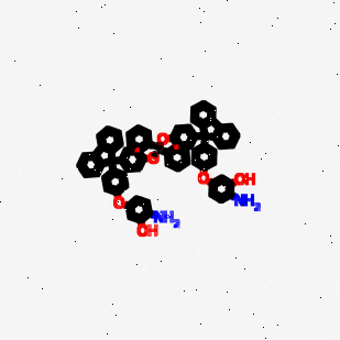 Nc1ccc(Oc2ccc(C3(c4ccc(O[Si](Oc5ccc(C6(c7ccc(Oc8ccc(N)c(O)c8)cc7)c7ccccc7-c7ccccc76)cc5)(c5ccccc5)c5ccccc5)cc4)c4ccccc4-c4ccccc43)cc2)cc1O